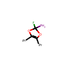 CC(C)C1=C(C(C)C)OC(F)(P)O1